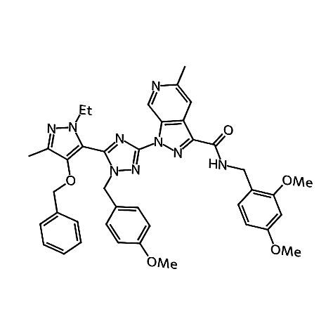 CCn1nc(C)c(OCc2ccccc2)c1-c1nc(-n2nc(C(=O)NCc3ccc(OC)cc3OC)c3cc(C)ncc32)nn1Cc1ccc(OC)cc1